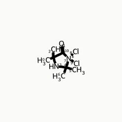 CC1(C)NC(C)(C)[N+](Cl)(Cl)C1=O